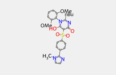 CCCCc1nc(=O)c(S(=O)(=O)c2ccc(-c3nccn3C)cc2)c(O)n1-c1c(OC)cccc1OC